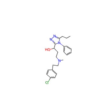 CCCc1nnc(C(O)CCN(C)CCc2ccc(Cl)cc2)n1-c1ccccc1